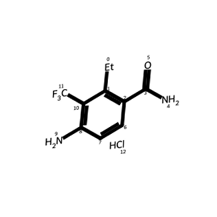 CCc1c(C(N)=O)ccc(N)c1C(F)(F)F.Cl